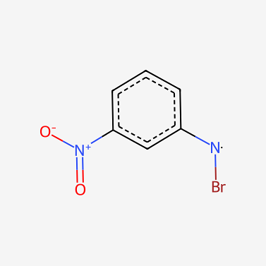 O=[N+]([O-])c1cccc([N]Br)c1